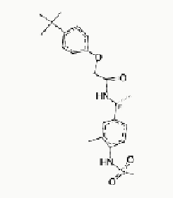 Cc1cc([C@@H](C)NC(=O)COc2ccc(C(C)(C)C)cc2)ccc1NS(C)(=O)=O